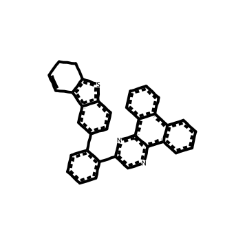 C1=Cc2c(sc3ccc(-c4ccccc4-c4cnc5c6ccccc6c6ccccc6c5n4)cc23)CC1